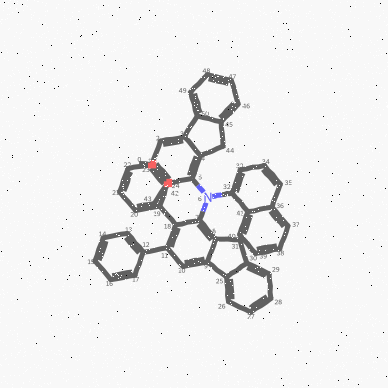 Cc1cc2c(c(N(c3c4c(cc(-c5ccccc5)c3-c3ccccc3)-c3ccccc3C4)c3cccc4ccccc34)c1C)Cc1ccccc1-2